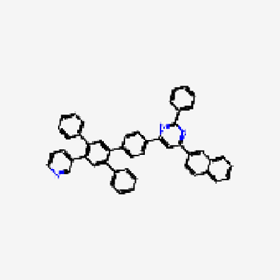 c1ccc(-c2nc(-c3ccc(-c4cc(-c5ccccc5)c(-c5cccnc5)cc4-c4ccccc4)cc3)cc(-c3ccc4ccccc4c3)n2)cc1